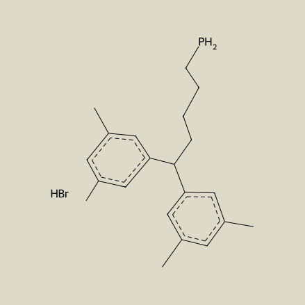 Br.Cc1cc(C)cc(C(CCCCP)c2cc(C)cc(C)c2)c1